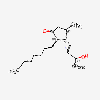 CCCCC[C@H](O)/C=C/[C@H]1[C@H](OC(C)=O)CC(=O)[C@@H]1CCCCCCC(=O)O